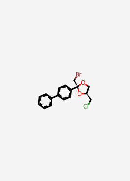 ClC[C@@H]1CO[C@@](CBr)(c2ccc(-c3ccccc3)cc2)O1